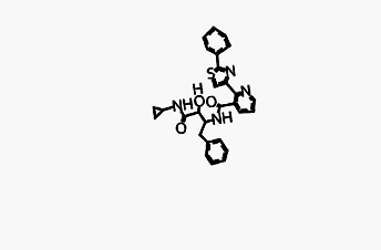 O=C(NC(Cc1ccccc1)C(O)C(=O)NC1CC1)c1cccnc1-c1csc(-c2ccccc2)n1